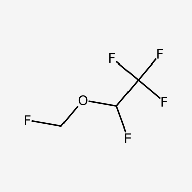 FCOC(F)C(F)(F)F